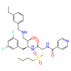 CCCCS(=O)(=O)C[C@@H](NC(=O)c1ccncc1)C(=O)N[C@@H](Cc1cc(F)cc(F)c1)[C@H](O)CNCc1cccc(CC)c1